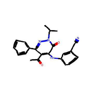 CC(=O)c1c(-c2ccccc2)nn(C(C)C)c(=O)c1Nc1cccc(C#N)c1